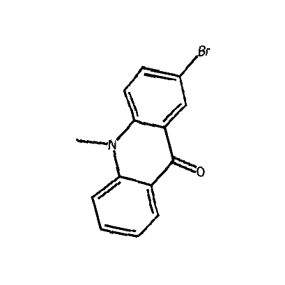 Cn1c2ccccc2c(=O)c2cc(Br)ccc21